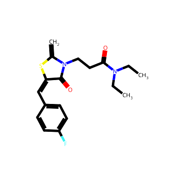 C=c1s/c(=C/c2ccc(F)cc2)c(=O)n1CCC(=O)N(CC)CC